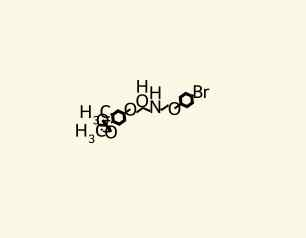 Cc1cc(OCC(O)CNCCOc2ccc(Br)cc2)ccc1S(C)(=O)=O